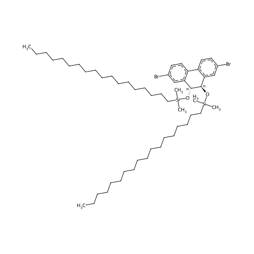 CCCCCCCCCCCCCCCCCC[Si](C)(C)O[C@@H]1c2cc(Br)ccc2-c2ccc(Br)cc2[C@H]1O[Si](C)(C)CCCCCCCCCCCCCCCCCC